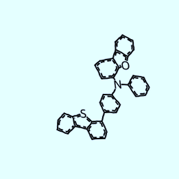 c1ccc(N(c2ccc(-c3cccc4c3sc3ccccc34)cc2)c2cccc3c2oc2ccccc23)cc1